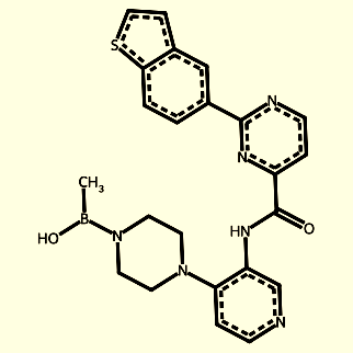 CB(O)N1CCN(c2ccncc2NC(=O)c2ccnc(-c3ccc4sccc4c3)n2)CC1